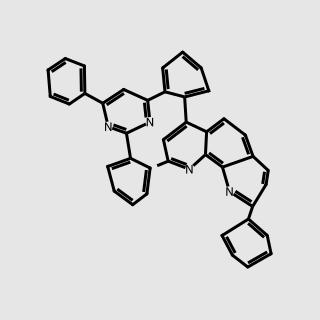 Cc1cc(-c2ccccc2-c2cc(-c3ccccc3)nc(-c3ccccc3)n2)c2ccc3ccc(-c4ccccc4)nc3c2n1